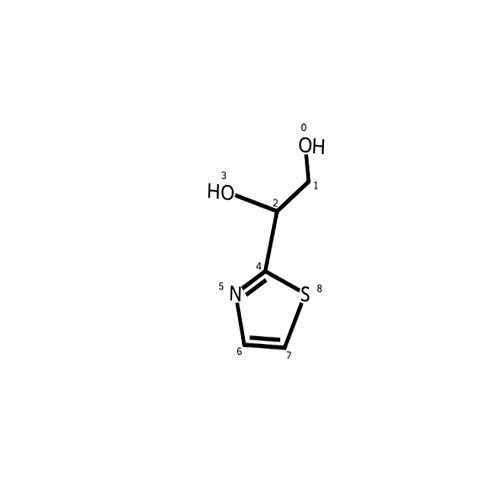 OCC(O)c1nccs1